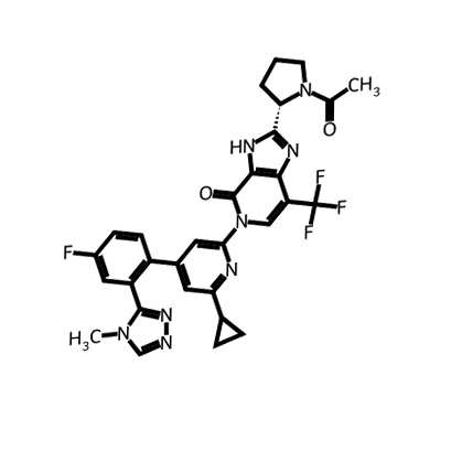 CC(=O)N1CCC[C@H]1c1nc2c(C(F)(F)F)cn(-c3cc(-c4ccc(F)cc4-c4nncn4C)cc(C4CC4)n3)c(=O)c2[nH]1